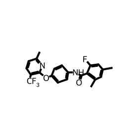 Cc1cc(C)c(C(=O)Nc2ccc(Oc3nc(C)ccc3C(F)(F)F)cc2)c(F)c1